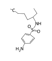 CCCCCC(CC)NS(=O)(=O)c1ccc(N)cc1